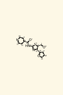 O=Cc1sc(NC(=O)c2ccncc2)nc1-c1ccco1